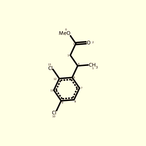 COC(=O)CC(C)c1ccc(Cl)cc1Cl